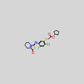 O=C(CSc1cc(N=c2sc(=O)n3n2CCCC3)c(F)cc1Cl)OC1CCCC1